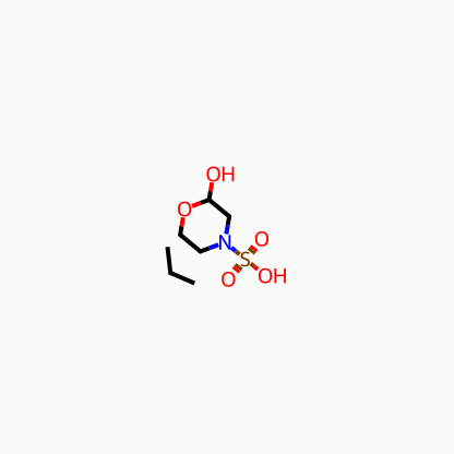 CCC.O=S(=O)(O)N1CCOC(O)C1